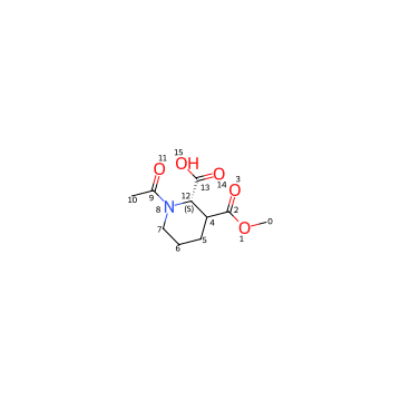 COC(=O)C1CCCN(C(C)=O)[C@@H]1C(=O)O